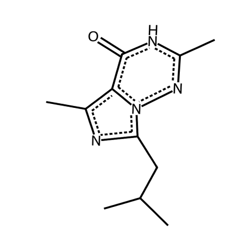 Cc1nn2c(CC(C)C)nc(C)c2c(=O)[nH]1